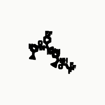 O=C(CCC(F)(F)F)N[C@@H](c1cnn2cc([C@@H](NC(=O)c3cncc(C4CC4)c3)C3CCC(F)(F)CC3)nc2c1)C1CC1